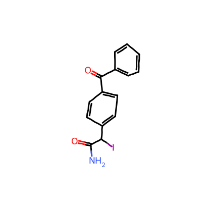 NC(=O)C(I)c1ccc(C(=O)c2ccccc2)cc1